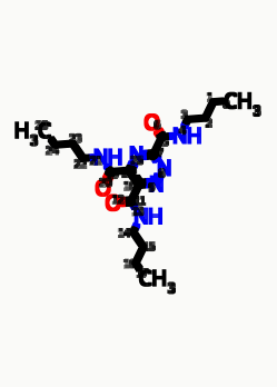 CCCCNC(=O)c1nnc(C(=O)NCCCC)c(C(=O)NCCCC)n1